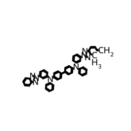 C=C/C=C\c1nn(-c2cccc(N(c3ccccc3)c3ccc(-c4ccc(N(c5ccccc5)c5cccc(-n6nc7ccccc7n6)c5)cc4)cc3)c2)nc1C